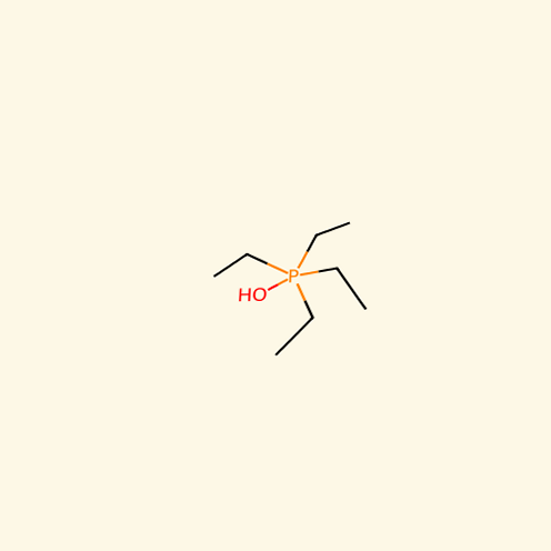 CCP(O)(CC)(CC)CC